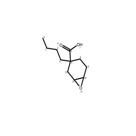 CCCCC1(C(=O)O)CCC2OC2C1